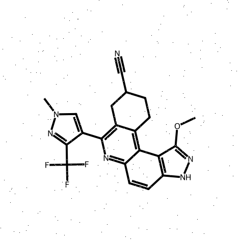 COc1n[nH]c2ccc3nc(-c4cn(C)nc4C(F)(F)F)c4c(c3c12)CCC(C#N)C4